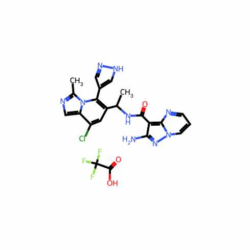 Cc1ncc2c(Cl)cc(C(C)NC(=O)c3c(N)nn4cccnc34)c(-c3cn[nH]c3)n12.O=C(O)C(F)(F)F